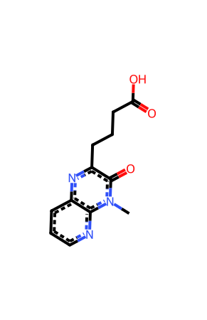 Cn1c(=O)c(CCCC(=O)O)nc2cccnc21